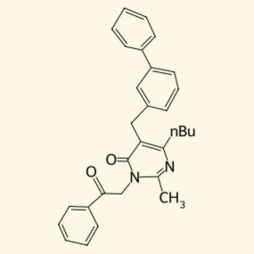 CCCCc1nc(C)n(CC(=O)c2ccccc2)c(=O)c1Cc1cccc(-c2ccccc2)c1